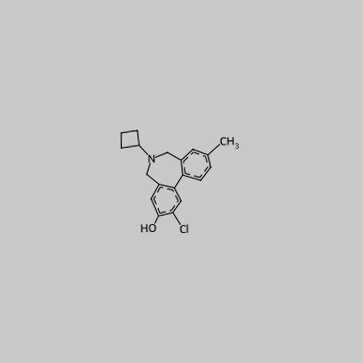 Cc1ccc2c(c1)CN(C1CCC1)Cc1cc(O)c(Cl)cc1-2